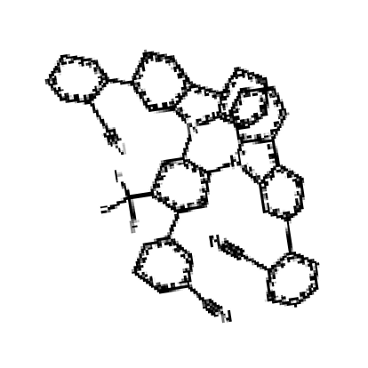 N#Cc1cccc(-c2cc(-n3c4ccccc4c4ccc(-c5ccccc5C#N)cc43)c(-n3c4ccccc4c4ccc(-c5ccccc5C#N)cc43)cc2C(F)(F)F)c1